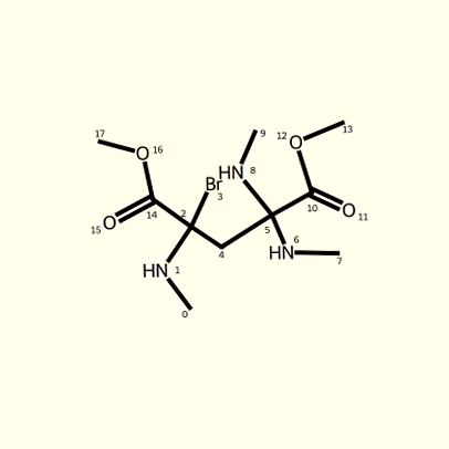 CNC(Br)(CC(NC)(NC)C(=O)OC)C(=O)OC